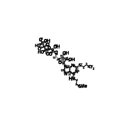 CSCCNc1nc(SCCC(F)(F)F)nc2c1ncn2[C@@H]1O[C@H](COP(=O)(O)OP(=O)(O)C(Cl)(Cl)P(=O)(O)O)[C@H](O)[C@H]1O